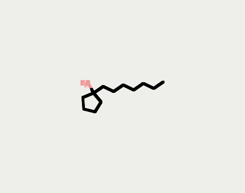 BC1(CCCCCCC)CCCC1